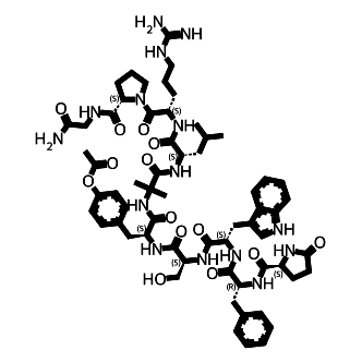 CC(=O)Oc1ccc(C[C@H](NC(=O)[C@H](CO)NC(=O)[C@H](Cc2c[nH]c3ccccc23)NC(=O)[C@@H](Cc2ccccc2)NC(=O)[C@@H]2CCC(=O)N2)C(=O)NC(C)(C)C(=O)N[C@@H](CC(C)C)C(=O)N[C@@H](CCCNC(=N)N)C(=O)N2CCC[C@H]2C(=O)NCC(N)=O)cc1